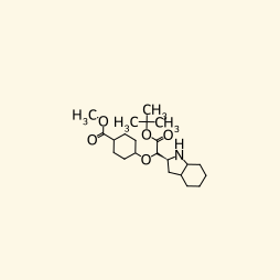 COC(=O)C1CCC(OC(C(=O)OC(C)(C)C)[C@@H]2CC3CCCCC3N2)CC1